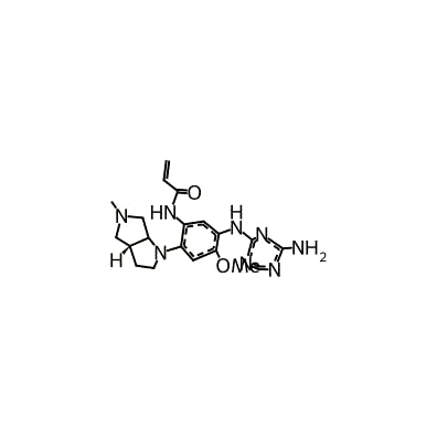 C=CC(=O)Nc1cc(Nc2ncnc(N)n2)c(OC)cc1N1CC[C@@H]2CN(C)CC21